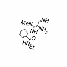 CCNC(=O)c1ccccc1N/C(NC)=C(\N)C=N